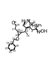 C=C/C(=C(/C/C(=N/O)NC)N(C)N)[C@@H](C)C1C(CC=O)C1OCc1ccccc1